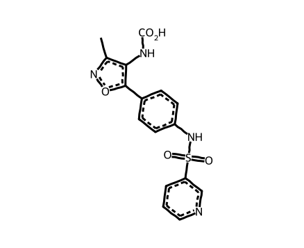 Cc1noc(-c2ccc(NS(=O)(=O)c3cccnc3)cc2)c1NC(=O)O